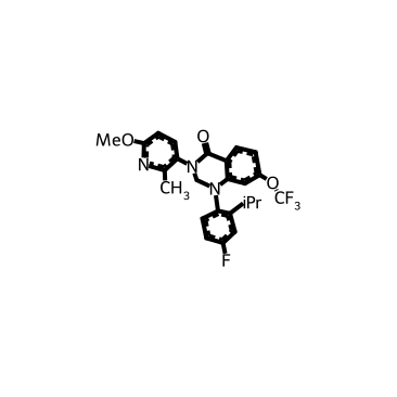 COc1ccc(N2CN(c3ccc(F)cc3C(C)C)c3cc(OC(F)(F)F)ccc3C2=O)c(C)n1